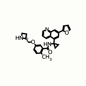 Cc1ccc(OC[C@@H]2CCN2)cc1C(=O)NC1(c2cc(-c3ccco3)cc3ncccc23)CC1